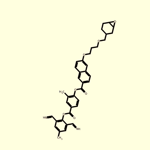 Cc1cc(C=N)c(OC(=O)c2ccc(OC(=O)c3ccc4cc(OCCCOCC5CCC6OC6C5)ccc4c3)c(C)c2)c(C=N)c1